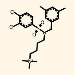 Cc1cc(C)cc(CN(CCCC[N+](C)(C)C)S(=O)(=O)c2ccc(Cl)c(Cl)c2)c1